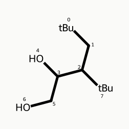 CC(C)(C)CC(C(O)CO)C(C)(C)C